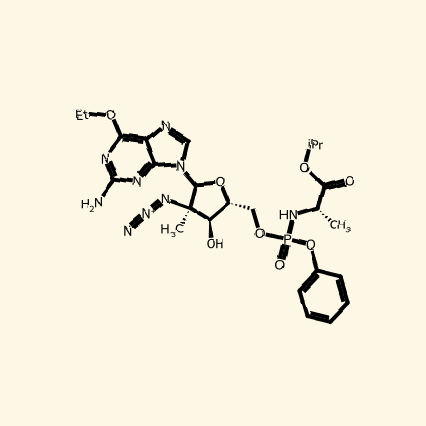 CCOc1nc(N)nc2c1ncn2C1O[C@H](COP(=O)(N[C@@H](C)C(=O)OC(C)C)Oc2ccccc2)[C@@H](O)[C@@]1(C)N=[N+]=[N-]